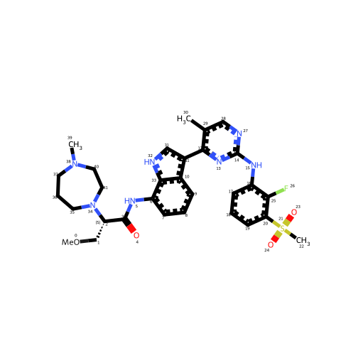 COC[C@@H](C(=O)Nc1cccc2c(-c3nc(Nc4cccc(S(C)(=O)=O)c4F)ncc3C)c[nH]c12)N1CCCN(C)CC1